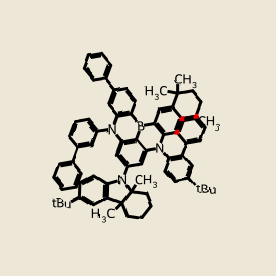 CC1CCC(C)(C)c2cc3c(cc21)N(c1ccc(C(C)(C)C)cc1C1=CC=C=C=C1)c1cc(N2c4ccc(C(C)(C)C)cc4C4(C)CCCCC24C)cc2c1B3c1ccc(-c3ccccc3)cc1N2c1cccc(-c2ccccc2)c1